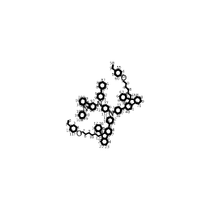 C=Cc1ccc(OCCCCCCC2(c3ccccc3)c3ccccc3-c3ccc(-c4ccc(N(c5ccc(-c6ccc7c(c6)C(CCCCCCOc6ccc(C=C)cc6)(c6ccccc6)c6ccccc6-7)cc5)c5ccc(N(c6ccc(-c7ccccc7)cc6)c6ccc7c(c6)c6ccccc6n7-c6ccccc6)cc5)cc4)cc32)cc1